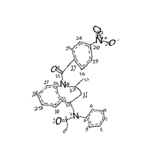 CC(=O)N(c1ccccc1)C1CC(C)N(C(=O)c2ccc([N+](=O)[O-])cc2)c2ccccc21